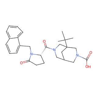 CC(C)(C)C12CC(CN(C(=O)O)C1)CN(C(=O)[C@@H]1CCC(=O)N1Cc1cccc3ccccc13)C2